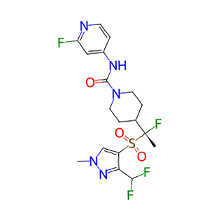 Cn1cc(S(=O)(=O)[C@@](C)(F)C2CCN(C(=O)Nc3ccnc(F)c3)CC2)c(C(F)F)n1